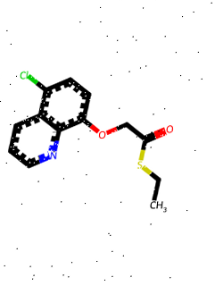 CCSC(=O)COc1ccc(Cl)c2cccnc12